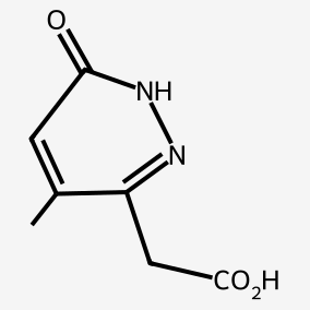 Cc1cc(=O)[nH]nc1CC(=O)O